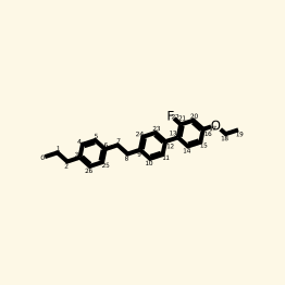 CCCc1ccc(CCc2ccc(-c3ccc(OCC)cc3F)cc2)cc1